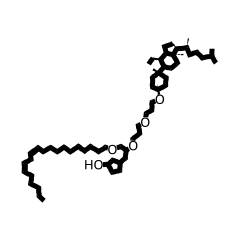 CCCCC/C=C\C/C=C\CCCCCCCCCCOCC(CC1CCC(O)C1)OCCCOCCCO[C@H]1CC[C@](C)(C2CC[C@@]3(C)C(CC[C@@H]3[C@H](C)CCCC(C)C)[C@@H]2CC)CC1